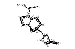 COC(=O)n1ccc2cc(-c3cc(=S)ss3)ccc21